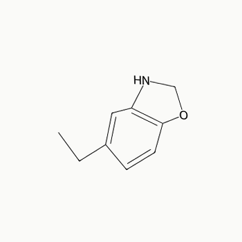 CCc1ccc2c(c1)NCO2